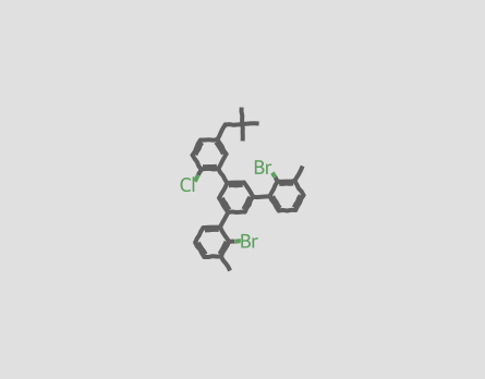 Cc1cccc(-c2cc(-c3cc(CC(C)(C)C)ccc3Cl)cc(-c3cccc(C)c3Br)c2)c1Br